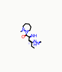 C=NN/C(=C\C(=N)C(=O)N1CCCCCN1C)CC